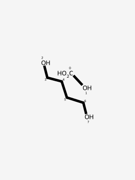 O=C(O)O.OCCCCO